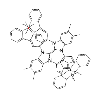 Cc1cc2c(cc1C)N(c1ccc3c(c1)C1C=CC=CC1C3(C)C)/C(=C1/N(c3ccc4c(c3)-c3ccccc3C4(C)C)c3cc(C)c(C)cc3N1c1ccc3c(c1)C1C=CC=CC1C3(C)C)N2c1ccc2c(c1)-c1ccccc1C2(C)C